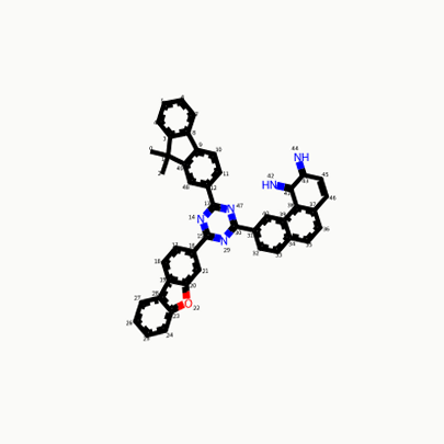 CC1(C)c2ccccc2-c2ccc(-c3nc(-c4ccc5c(c4)oc4ccccc45)nc(-c4ccc5ccc6c(c5c4)C(=N)C(=N)C=C6)n3)cc21